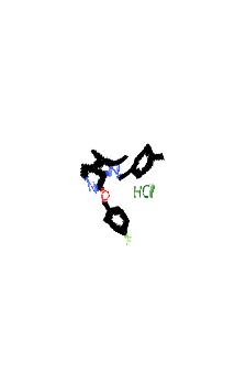 Cc1ccc(Cn2c(C)c(C)c3ccnc(OCc4ccc(F)cc4)c32)cc1.Cl